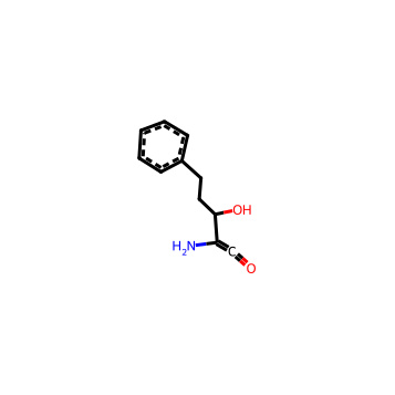 NC(=C=O)C(O)CCc1ccccc1